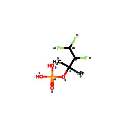 CCCC(C)(OP(=O)(O)O)C(F)C(F)F